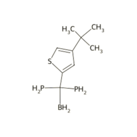 BC(P)(P)c1cc(C(C)(C)C)cs1